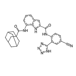 N#Cc1ccc(NC(=O)c2cc3cccc(NC(=O)C45CC6CC(CC(C6)C4)C5)c3[nH]2)c(-c2nnn[nH]2)c1